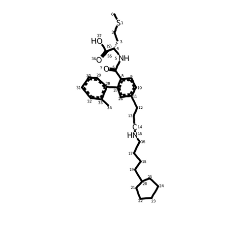 CSCC[C@H](NC(=O)c1ccc(CCCNCCCCC2CCCCC2)cc1-c1ccccc1C)C(=O)O